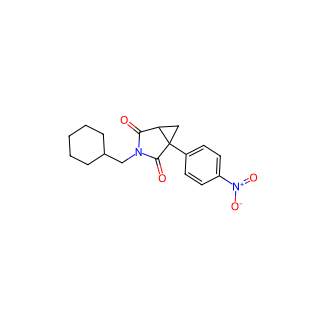 O=C1C2CC2(c2ccc([N+](=O)[O-])cc2)C(=O)N1CC1CCCCC1